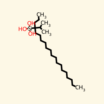 CCCCCCCCCCCCCCCCC(CCC)([C](C)C)[Si](O)(O)O